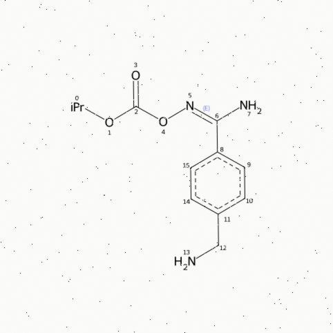 CC(C)OC(=O)O/N=C(/N)c1ccc(CN)cc1